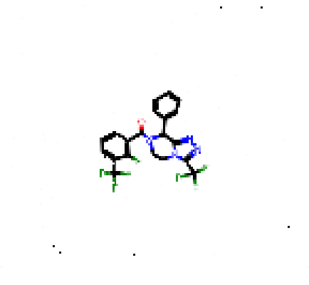 O=C(c1cccc(C(F)(F)F)c1F)N1CCn2c(nnc2C(F)(F)F)C1c1ccccc1